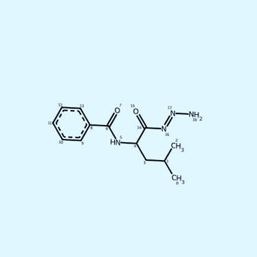 CC(C)CC(NC(=O)c1ccccc1)C(=O)N=NN